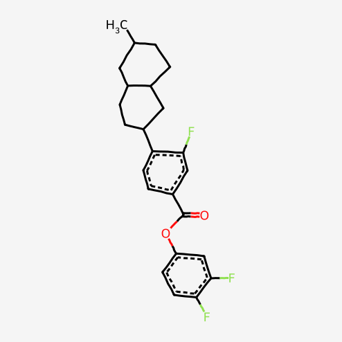 CC1CCC2CC(c3ccc(C(=O)Oc4ccc(F)c(F)c4)cc3F)CCC2C1